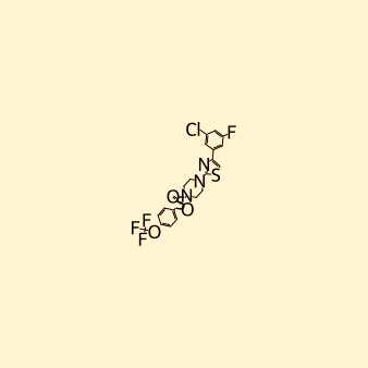 O=S(=O)(c1ccc(OC(F)(F)F)cc1)N1CCN(c2nc(-c3cc(F)cc(Cl)c3)cs2)CC1